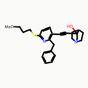 COCCCSc1ccc(C#CC2(O)CN3CCC2CC3)c(Cc2ccccc2)n1